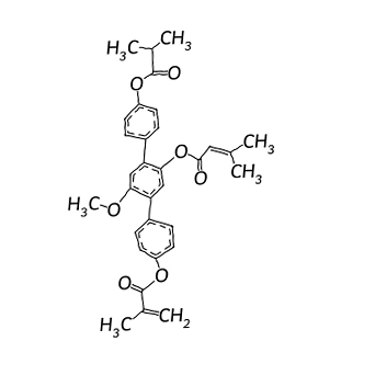 C=C(C)C(=O)Oc1ccc(-c2cc(OC(=O)C=C(C)C)c(-c3ccc(OC(=O)C(C)C)cc3)cc2OC)cc1